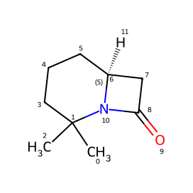 CC1(C)CCC[C@H]2CC(=O)N21